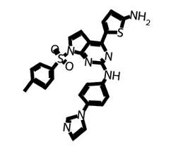 Cc1ccc(S(=O)(=O)n2ccc3c(-c4ccc(N)s4)nc(Nc4ccc(-n5ccnc5)cc4)nc32)cc1